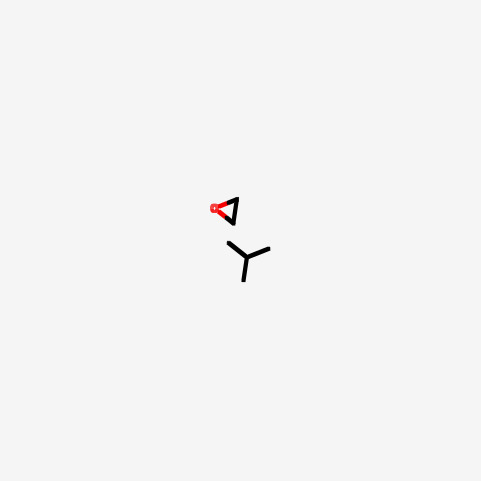 C1CO1.CC(C)C